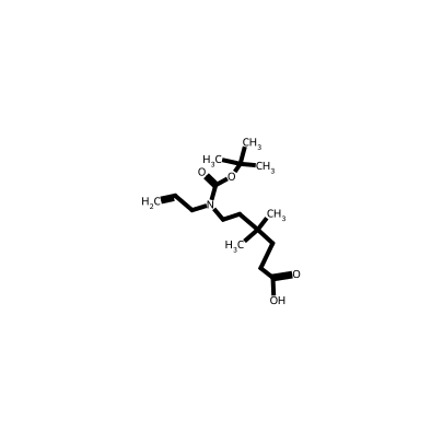 C=CCN(CCC(C)(C)CCC(=O)O)C(=O)OC(C)(C)C